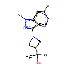 CCC(C)n1nc(N2CC(C(C)(C)O)C2)c2cnc(Cl)cc21